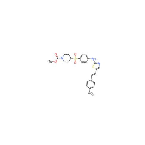 CC(C)(C)OC(=O)N1CCC(S(=O)(=O)c2ccc(Nc3ncc(C=Cc4ccc([N+](=O)[O-])cc4)s3)cc2)CC1